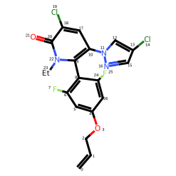 C=CCOc1cc(F)c(-c2c(-n3cc(Cl)cn3)cc(Cl)c(=O)n2CC)c(F)c1